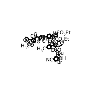 CCOC(=O)C1=NN(c2ccc(Cl)cc2Cl)C(C)(C(=O)OCC)C1.CCc1cc(C)cc(CC)c1-c1c(OC(=O)C(C)(C)C)n2n(c1=O)CCOCC2.Cc1c(C(=O)c2cnn(C)c2O)ccc(S(C)(=O)=O)c1C1=NOCC1.N#Cc1cc(Br)c(O)c(Br)c1